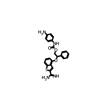 N=C(N)c1cc2c(OC(COC(=O)Nc3ccc(N)cc3)c3ccccc3)cccc2s1